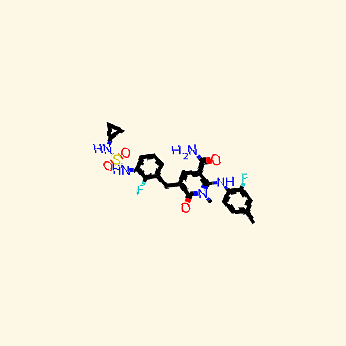 Cc1ccc(Nc2c(C(N)=O)cc(Cc3cccc(NS(=O)(=O)NC4CC4)c3F)c(=O)n2C)c(F)c1